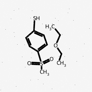 CCOCC.CS(=O)(=O)c1ccc(S)cc1